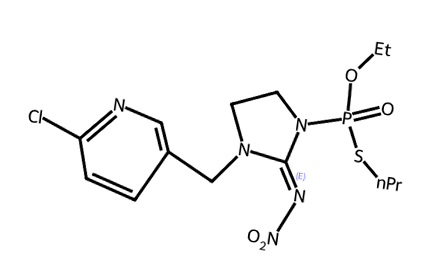 CCCSP(=O)(OCC)N1CCN(Cc2ccc(Cl)nc2)/C1=N\[N+](=O)[O-]